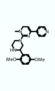 COc1ccc(OC)c(C2CN(C3=NC(c4ccncc4)=CCN3C)CCN2)c1